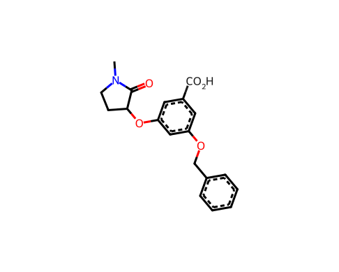 CN1CCC(Oc2cc(OCc3ccccc3)cc(C(=O)O)c2)C1=O